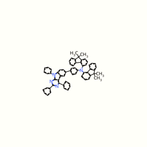 CC1(C)c2ccccc2-c2c(N(c3ccc(-c4ccc5c(c4)c4c(-c6ccccc6)nc(-c6ccccc6)nc4n5-c4ccccc4)cc3)c3cccc4c3-c3ccccc3C4(C)C)cccc21